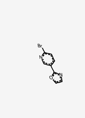 Brc1ccc(-c2ncco2)cn1